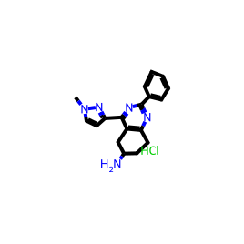 Cl.Cn1ccc(-c2nc(-c3ccccc3)nc3c2CC(N)CC3)n1